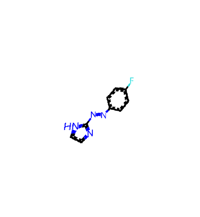 Fc1ccc(N=Nc2ncc[nH]2)cc1